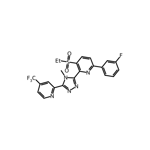 CCS(=O)(=O)c1ccc(-c2cccc(F)c2)nc1-c1nnc(-c2cc(C(F)(F)F)ccn2)n1C